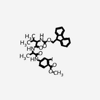 COC(=O)c1ccc(NC(=O)C(C)NC(=O)C(NC(=O)OCC2c3ccccc3-c3ccccc32)C(C)C)cc1I